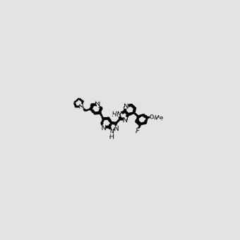 COc1cc(F)cc(-c2ccnc3[nH]c(-c4n[nH]c5ncc(-c6cncc(CN7CCCC7)c6)cc45)nc23)c1